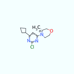 C[C@@H]1COCCN1c1cc(C2CCC2)nc(Cl)n1